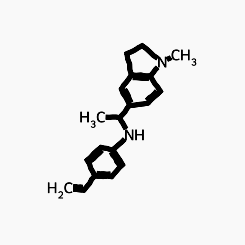 C=Cc1ccc(NC(C)c2ccc3c(c2)CCN3C)cc1